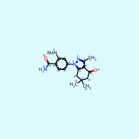 CNc1cc(-n2nc(C)c3c2CC(C)(C)CC3=O)ccc1C(N)=O